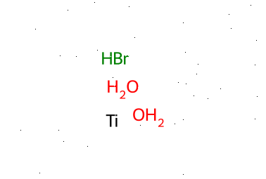 Br.O.O.[Ti]